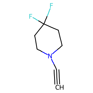 C#CN1CCC(F)(F)CC1